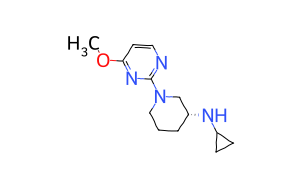 COc1ccnc(N2CCC[C@@H](NC3CC3)C2)n1